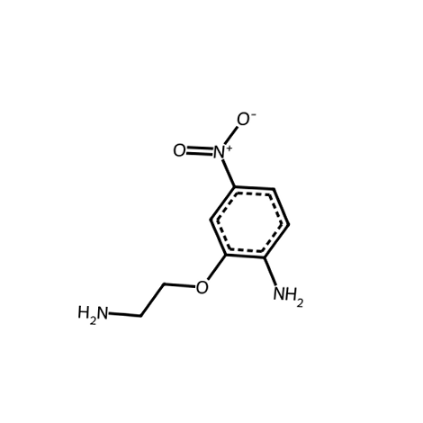 NCCOc1cc([N+](=O)[O-])ccc1N